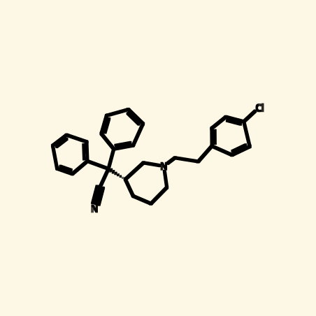 N#CC(c1ccccc1)(c1ccccc1)[C@H]1CCCN(CCc2ccc(Cl)cc2)C1